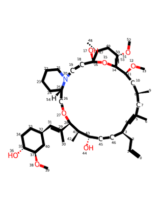 C=CC[C@@H]1/C=C(\C)C[C@H](C)C[C@H](OC)[C@H]2O[C@](O)(CCN3CCCC[C@H]3CO[C@H](/C(C)=C/[C@@H]3CC[C@@H](O)[C@H](OC)C3)[C@H](C)[C@@H](O)CC1)[C@H](C)C[C@@H]2OC